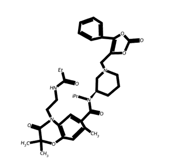 CCC(=O)NCCN1C(=O)C(C)(C)Oc2cc(C)c(C(=O)N(C(C)C)[C@@H]3CCCN(Cc4oc(=O)oc4-c4ccccc4)C3)cc21